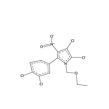 CCOCn1c(Cl)c(Cl)c([N+](=O)[O-])c1-c1ccc(Cl)c(Cl)c1